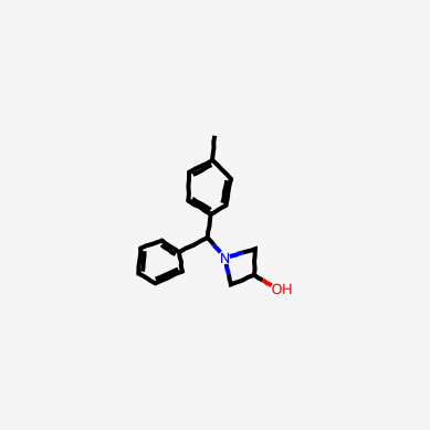 Cc1ccc(C(c2ccccc2)N2CC(O)C2)cc1